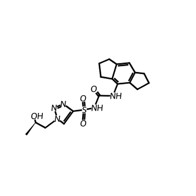 C[C@@H](O)Cn1cc(S(=O)(=O)NC(=O)Nc2c3c(cc4c2CCC4)CCC3)nn1